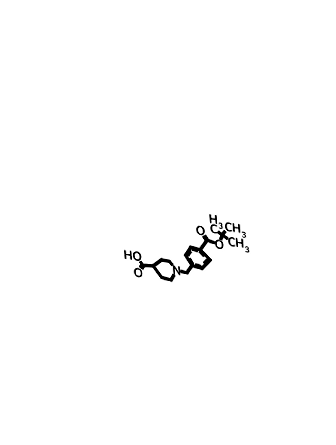 CC(C)(C)OC(=O)c1ccc(CN2CCC(C(=O)O)CC2)cc1